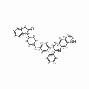 O=C1Cc2ccccc2N1C1CCN(Cc2ccc(-c3nc4cc5nn[nH]c5cc4nc3-c3ccccc3)cc2)CC1